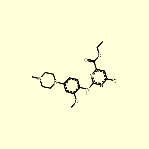 CCOC(=O)c1cc(Cl)nc(Nc2ccc(N3CCN(C)CC3)cc2OC)n1